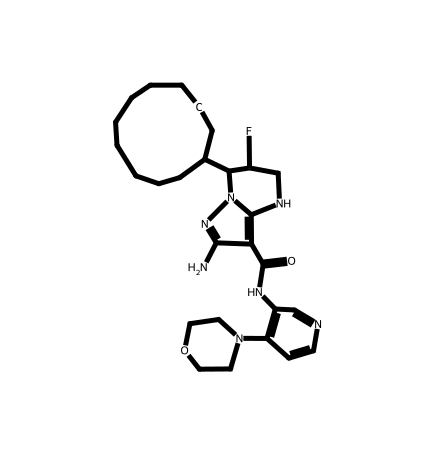 Nc1nn2c(c1C(=O)Nc1cnccc1N1CCOCC1)NCC(F)C2C1CCCCCCCCCC1